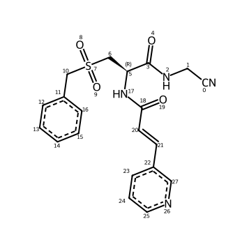 N#CCNC(=O)[C@H](CS(=O)(=O)Cc1ccccc1)NC(=O)C=Cc1cccnc1